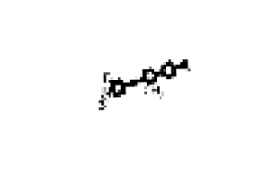 CC1=C(C#Cc2cc(F)c(N=C=S)c(F)c2)CCC(C2CCC(C3CC3)CC2)C1